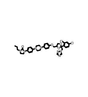 CCCN1CCN(c2ccc(N3CCN(c4ccc(OCC5COC(Cn6cncn6)(c6ccc(Cl)cc6Cl)O5)cc4)CC3)cc2)C1=O